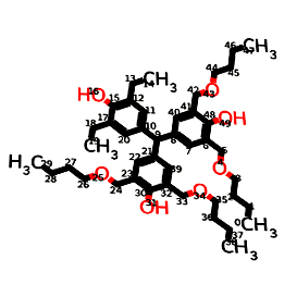 CCCCOCc1cc(C(c2cc(CC)c(O)c(CC)c2)c2cc(COCCCC)c(O)c(COCCCC)c2)cc(COCCCC)c1O